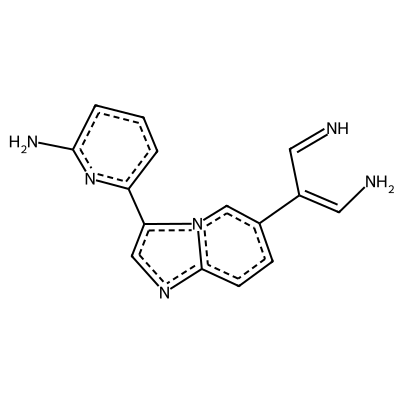 N=C/C(=C\N)c1ccc2ncc(-c3cccc(N)n3)n2c1